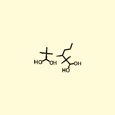 CC(C)(C)C(O)O.CCCC(C)C(C)(C)C(O)O